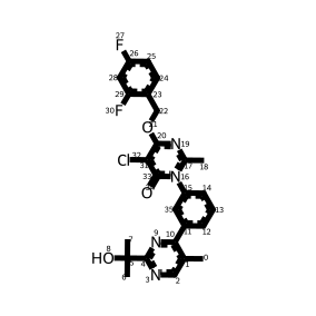 Cc1cnc(C(C)(C)O)nc1-c1cccc(-n2c(C)nc(OCc3ccc(F)cc3F)c(Cl)c2=O)c1